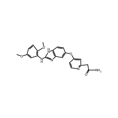 COc1ccc(OC)c(Nc2nc3cc(Oc4ccnc(CC(N)=O)c4)ccc3[nH]2)c1